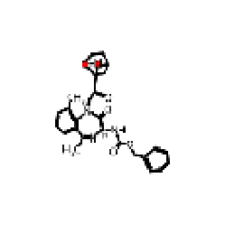 CC1=N[C@H](NC(=O)OCc2ccccc2)C(=O)N(CC(=O)N2CC3CCC(CC3)C2)c2c(C)cccc21